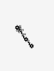 O=C(CCNCCCc1ccc(OCCCc2ccccc2)cc1)NS(=O)(=O)c1c(Cl)cccc1Cl